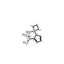 C[SiH](C)C1=CC=C[C]1[Si]1(C)CCC1